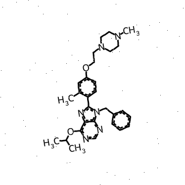 Cc1cc(OCCN2CCN(C)CC2)ccc1-c1nc2c(OC(C)C)ncnc2n1Cc1ccccc1